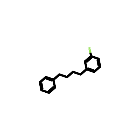 Fc1[c]ccc(CCCCc2ccccc2)c1